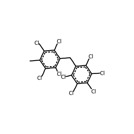 Cc1c(Cl)c(Cl)c(Cc2c(Cl)c(Cl)c(Cl)c(Cl)c2Cl)c(Cl)c1Cl